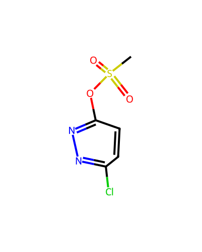 CS(=O)(=O)Oc1ccc(Cl)nn1